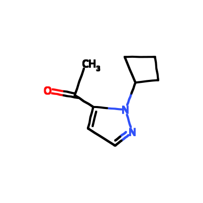 CC(=O)c1ccnn1C1CCC1